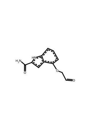 NC(=O)c1cc2c(OC[C]=O)cccc2[nH]1